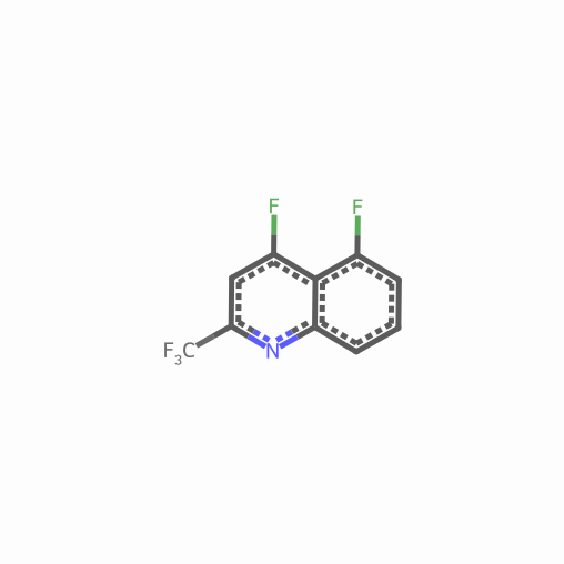 Fc1cccc2nc(C(F)(F)F)cc(F)c12